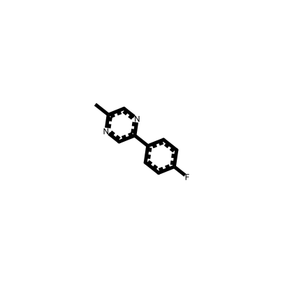 Cc1cnc(-c2ccc(F)cc2)cn1